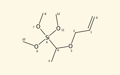 C=CCOC(C)[Si](OC)(OC)OC